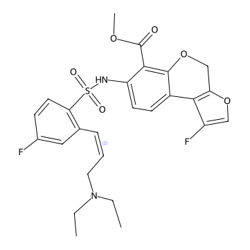 CCN(CC)C/C=C\c1cc(F)ccc1S(=O)(=O)Nc1ccc2c(c1C(=O)OC)OCc1occ(F)c1-2